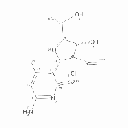 C#CC1(Cl)[C@@H](O)[C@@H]([C@H](C)O)O[C@H]1n1c(C)cc(N)nc1=O